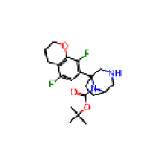 CC(C)(C)OC(=O)N1C2CCC1(c1cc(F)c3c(c1F)OCCC3)CNC2